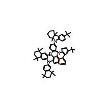 Cc1cc2c3c(c1)N(c1ccc(C(C)(C)C)cc1-c1ccccc1)c1cc(N4c5ccc(C(C)(C)C)cc5C5(C)CCCCC45C)ccc1B3c1cc3c(cc1N2c1ccc2c(c1)C(C)(C)CCC2(C)C)C(C)(C)CCC3(C)C